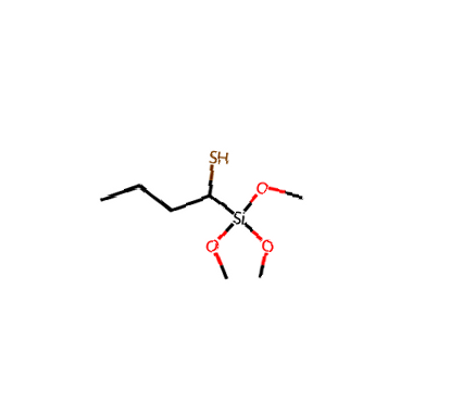 CCCC(S)[Si](OC)(OC)OC